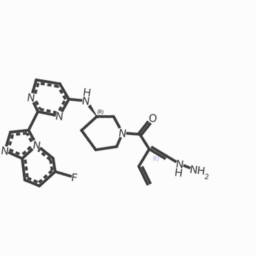 C=C/C(=C\NN)C(=O)N1CCC[C@@H](Nc2ccnc(-c3cnc4ccc(F)cn34)n2)C1